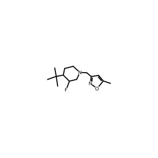 Cc1cc(CN2CCC(C(C)(C)C)C(F)C2)no1